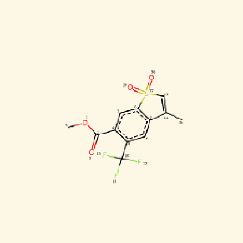 COC(=O)c1cc2c(cc1C(F)(F)F)C(C)=CS2(=O)=O